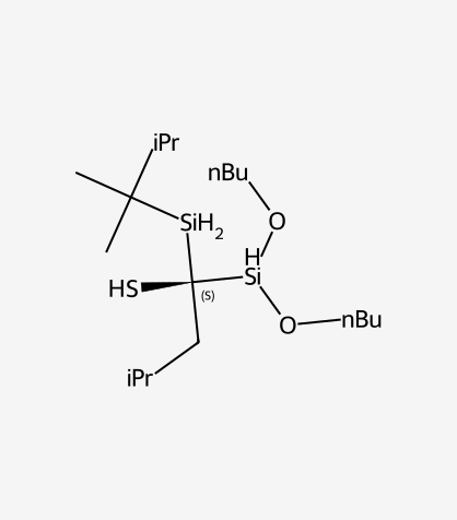 CCCCO[SiH](OCCCC)[C@](S)(CC(C)C)[SiH2]C(C)(C)C(C)C